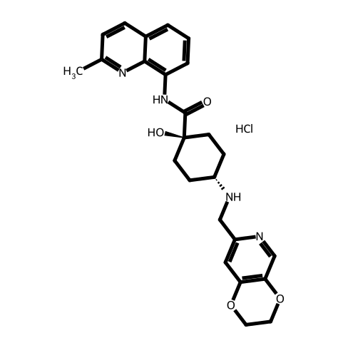 Cc1ccc2cccc(NC(=O)[C@]3(O)CC[C@H](NCc4cc5c(cn4)OCCO5)CC3)c2n1.Cl